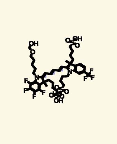 CC1(CCCCS(=O)(=O)O)C(/C=C/C=C/C=C2/N(CCCCCOCO)c3c(F)c(F)c(F)c(F)c3C2(C)CCCCS(=O)(=O)O)=[N+](CCCCS(=O)(=O)O)c2cc(C(F)(F)F)ccc21